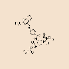 Cc1cc(COc2ccc(C(=O)N[C@@H]3CN(C(=O)N(C)C)CC[C@@H]3C(=O)NOC(=O)C(F)(F)F)cc2)c2ccccc2n1